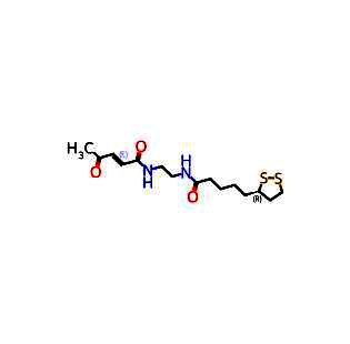 CC(=O)/C=C/C(=O)NCCNC(=O)CCCC[C@@H]1CCSS1